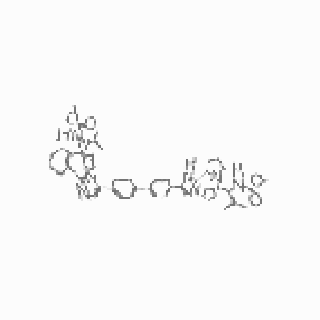 COC(=O)N[C@H](C(=O)N1CCC[C@H]1c1ncc(-c2ccc(-c3ccc(-c4cnc(C5=C(C(=O)N(NC(=O)OC)C(C)C)CCCC5)[nH]4)cc3)cc2)[nH]1)C(C)C